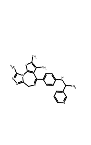 Cc1sc2c(c1C)C(c1ccc(NC(C)c3cccnc3)cc1)=NCc1nnc(C)n1-2